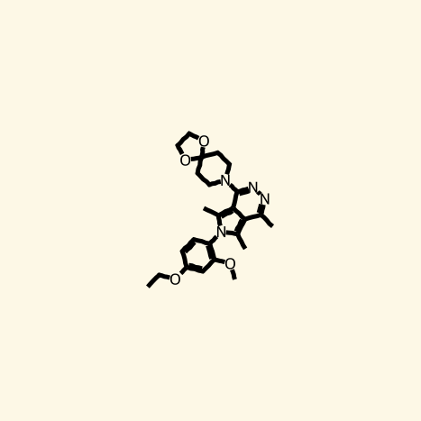 CCOc1ccc(-n2c(C)c3c(C)nnc(N4CCC5(CC4)OCCO5)c3c2C)c(OC)c1